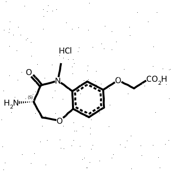 CN1C(=O)[C@@H](N)COc2ccc(OCC(=O)O)cc21.Cl